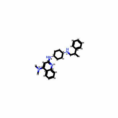 CC(CN[C@H]1CC[C@@H](Nc2cc(N(C)C)c3ccccc3n2)CC1)c1ccccc1